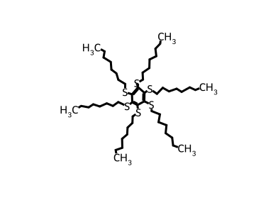 CCCCCCCCSc1c(SCCCCCCCC)c(SCCCCCCCC)c(SCCCCCCCC)c(SCCCCCCCC)c1SCCCCCCCC